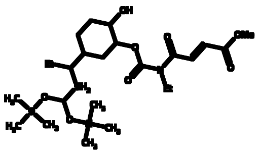 CCC([SiH2]C(O[Si](C)(C)C)O[Si](C)(C)C)C1CCC(O)C(OC(=O)N(CC)C(=O)C=CC(=O)OC)C1